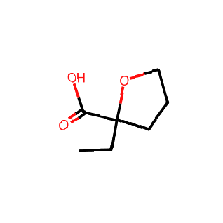 CCC1(C(=O)O)CCCO1